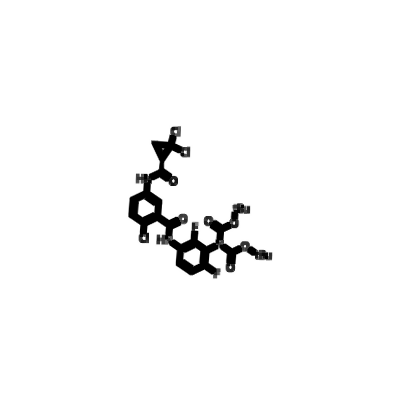 CC(C)(C)OC(=O)N(C(=O)OC(C)(C)C)c1c(F)ccc(NC(=O)c2cc(NC(=O)[C@H]3CC3(Cl)Cl)ccc2Cl)c1F